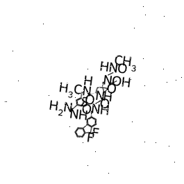 CC(=O)NCCN(C[C@@]12C[C@@H]1N(C(=O)CNC(=O)c1ccc3c(c1)-c1ccccc1C3(F)F)[C@H](C(=O)NC(C)c1cc(C(=N)N)cs1)C2)C(=O)O